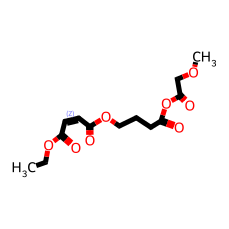 CCOC(=O)/C=C\C(=O)OCCCC(=O)OC(=O)COC